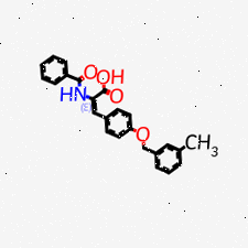 Cc1cccc(COc2ccc(/C=C(/NC(=O)c3ccccc3)C(=O)O)cc2)c1